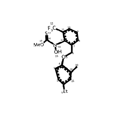 CCc1ccc(OCc2cccc(C(F)(F)F)c2N(O)C(=S)OC)c(C)c1